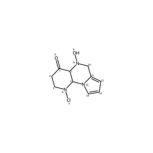 O=C1CCN(Cl)C2C1N(O)Cc1cccn12